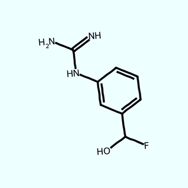 N=C(N)Nc1cccc(C(O)F)c1